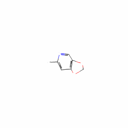 CC(C)(C)c1cc2c(cn1)OCO2